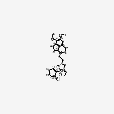 CCN(CCCCN1CCc2cc(OC)c(OC)c3c2C1CC3)S(=O)(=O)c1ccccc1Cl